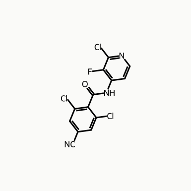 N#Cc1cc(Cl)c(C(=O)Nc2ccnc(Cl)c2F)c(Cl)c1